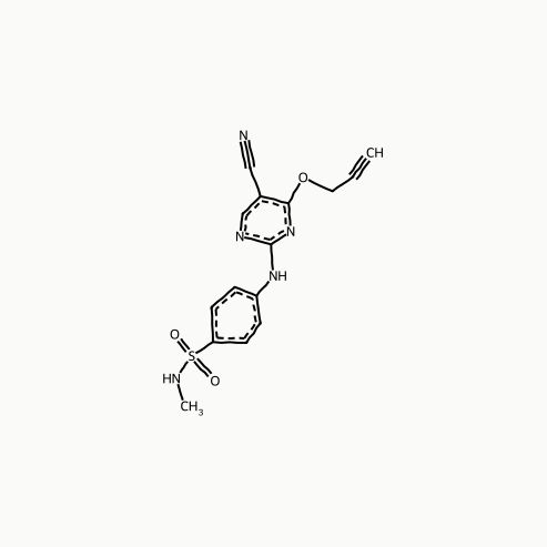 C#CCOc1nc(Nc2ccc(S(=O)(=O)NC)cc2)ncc1C#N